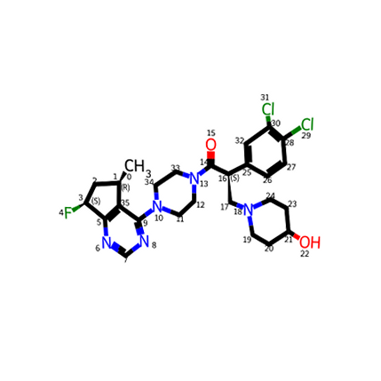 C[C@@H]1C[C@H](F)c2ncnc(N3CCN(C(=O)[C@H](CN4CCC(O)CC4)c4ccc(Cl)c(Cl)c4)CC3)c21